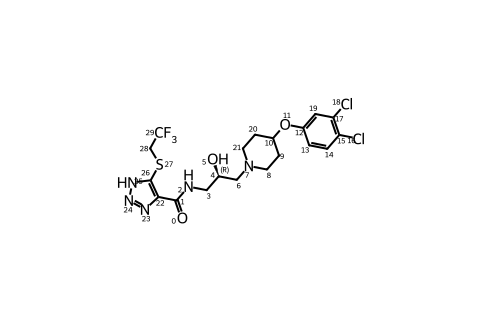 O=C(NC[C@@H](O)CN1CCC(Oc2ccc(Cl)c(Cl)c2)CC1)c1nn[nH]c1SCC(F)(F)F